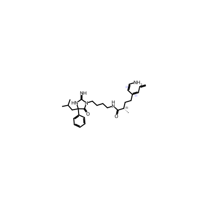 C=C/C=C(\C=C/N)CC[C@H](C)C(=O)NCCCCN1C(=N)NC(CC(C)C)(c2ccccc2)C1=O